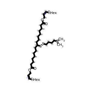 CCCCCC/C=C\COC(=O)CCCCCCCC(CCCCCCCC(=O)OC/C=C\CCCCCC)SSCCCCN(C)C